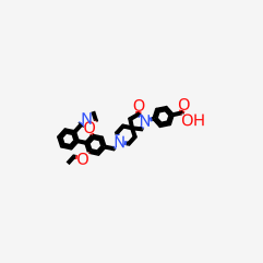 CCOc1cc(CN2CCC3(CC2)CC(=O)N(c2ccc(C(=O)O)cc2)C3)cc(OCC)c1-c1ccccc1C#N